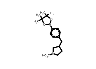 CC1(C)OB(c2ccc(CC3CCN(C(=O)O)C3)cc2)OC1(C)C